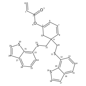 C=CC(=O)OC1=CC=CC(CSc2cccc3ccsc23)(CSc2cccc3ccsc23)C1